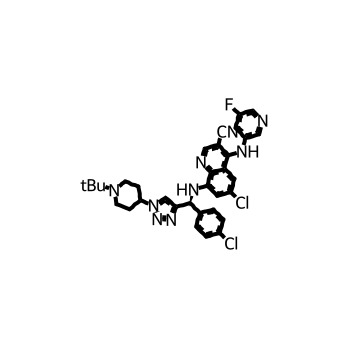 CC(C)(C)N1CCC(n2cc([C@@H](Nc3cc(Cl)cc4c(Nc5cncc(F)c5)c(C#N)cnc34)c3ccc(Cl)cc3)nn2)CC1